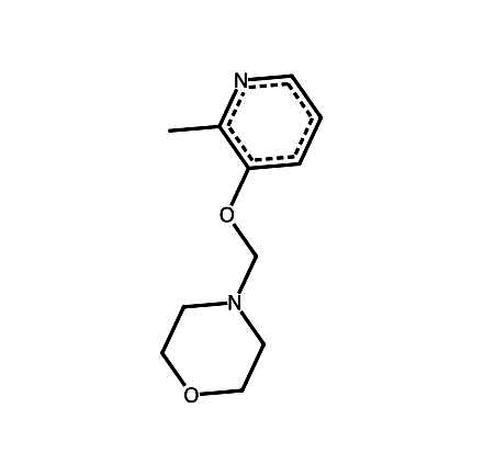 Cc1ncccc1OCN1CCOCC1